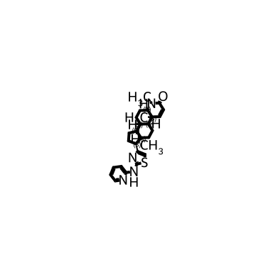 CN1C(=O)C=C[C@]2(C)[C@H]3CC[C@]4(C)[C@@H](c5csc(Nc6ccccn6)n5)CC[C@H]4[C@@H]3CC[C@@H]12